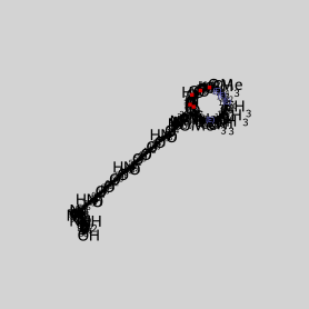 CO[C@H]1C[C@@H]2CCC[C@@](O)(O2)C(=O)C(=O)N2CCCC[C@H]2C(=O)O[C@H]([C@H](N)C[C@@H]2CC[C@H](n3cc(COC(=O)NCCOCCOCCOCCOCCC(=O)NCCOCCOCCOCCOCCC(=O)NCCCCn4nc(-c5cc6cc(O)ccc6[nH]5)c5c(N)ncnc54)nn3)[C@H](OC)C2)CC(=O)[C@H](C)/C=C(\C)[C@@H](O)[C@@H](O)C(=O)[C@H](C)C[C@H](C)/C=C/C=C/C=C/1C